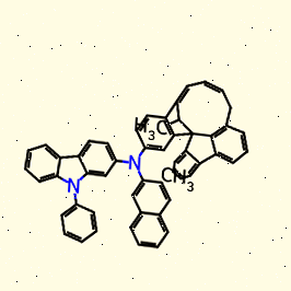 Cc1cc2ccccc2cc1N(c1ccc2c(c1)C13c4ccccc4-c4cccc(c41)C/C=C\C=C\2C3C)c1ccc2c3ccccc3n(-c3ccccc3)c2c1